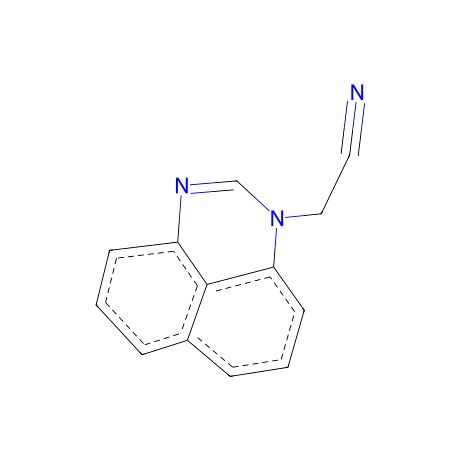 N#CCN1C=Nc2cccc3cccc1c23